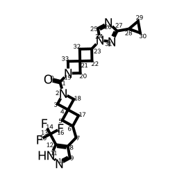 O=C(N1CC2(CC(Cc3cn[nH]c3C(F)(F)F)C2)C1)N1CC2(CC(n3cnc(C4CC4)n3)C2)C1